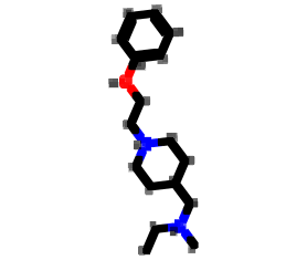 CCN(C)CC1CCN(CCOc2ccccc2)CC1